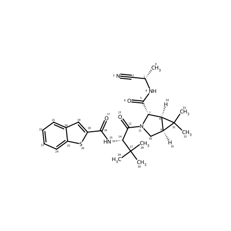 C[C@@H](C#N)NC(=O)[C@@H]1[C@@H]2[C@H](CN1C(=O)[C@@H](NC(=O)c1cc3ccccc3s1)C(C)(C)C)C2(C)C